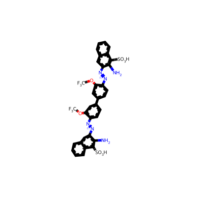 Nc1c(/N=N/c2ccc(-c3ccc(/N=N/c4cc5ccccc5c(S(=O)(=O)O)c4N)c(OC(F)(F)F)c3)cc2OC(F)(F)F)cc2ccccc2c1S(=O)(=O)O